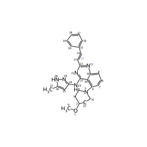 COC1CCN(c2cccc3nc(/C=C/c4ccccc4)nc(Nc4cc(C)[nH]n4)c23)CC1